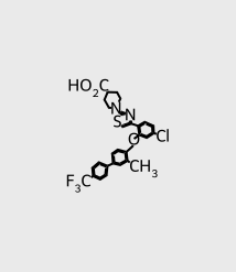 Cc1cc(-c2ccc(C(F)(F)F)cc2)ccc1COc1cc(Cl)ccc1-c1csc(N2CCC(C(=O)O)CC2)n1